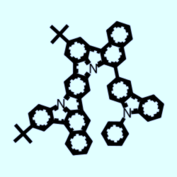 CC(C)(C)c1ccc2c(c1)c1c3ccccc3cc3c4cc5c(cc4n2c31)c1cc(C(C)(C)C)cc2c3c4ccccc4cc(-c4ccc6c(c4)c4ccccc4n6-c4ccccc4)c3n5c12